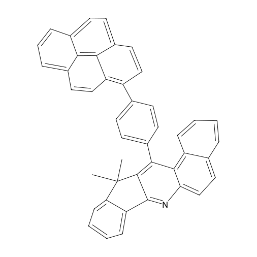 CC1(C)c2ccccc2-c2nc3ccc4ccccc4c3c(-c3ccc(-c4ccc5ccc6cccc7ccc4c5c67)cc3)c21